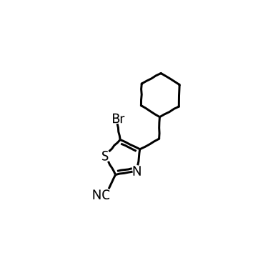 N#Cc1nc(CC2CCCCC2)c(Br)s1